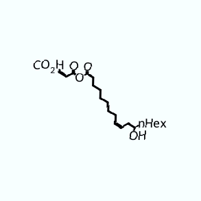 CCCCCC[C@@H](O)C/C=C\CCCCCCCC(=O)OC(=O)/C=C\C(=O)O